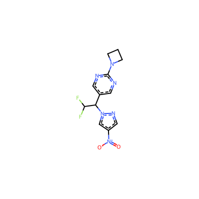 O=[N+]([O-])c1cnn(C(c2cnc(N3CCC3)nc2)C(F)F)c1